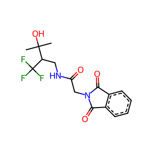 CC(C)(O)C(CNC(=O)CN1C(=O)c2ccccc2C1=O)C(F)(F)F